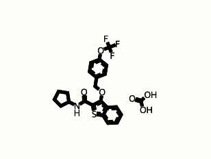 O=C(NC1CCCC1)c1sc2ccccc2c1OCc1ccc(OC(F)(F)F)cc1.O=C(O)O